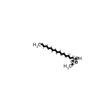 CCCCCCCCCCCCCCCCP(=O)(O)OCC